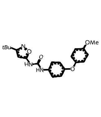 COc1ccc(Oc2ccc(NC(=O)Nc3cc(C(C)(C)C)no3)cc2)cc1